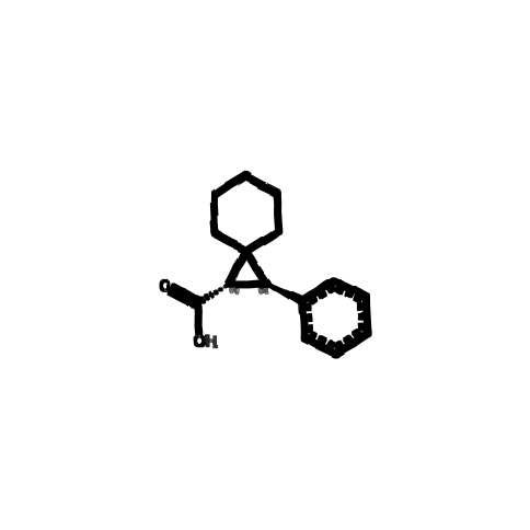 O=C(O)[C@H]1[C@H](c2ccccc2)C12CCCCC2